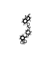 Cc1ccc2c(OCCN3CCN(Cc4cccc5c4OCO5)CC3)cccc2n1